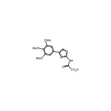 COc1cc(-c2csc(NC(=O)C(=O)O)n2)cc(OC)c1OC